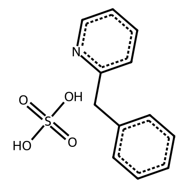 O=S(=O)(O)O.c1ccc(Cc2ccccn2)cc1